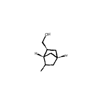 CC1C[C@H]2C[C@H](CO)[C@@H]1C2